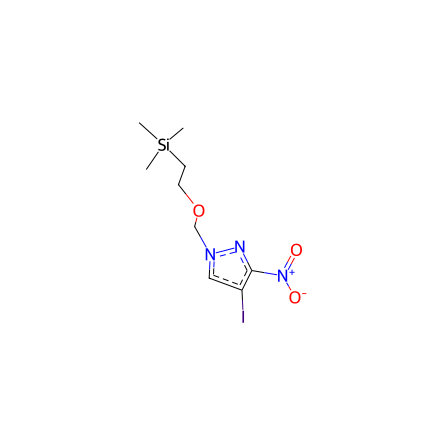 C[Si](C)(C)CCOCn1cc(I)c([N+](=O)[O-])n1